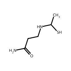 CC(S)NCCC(N)=O